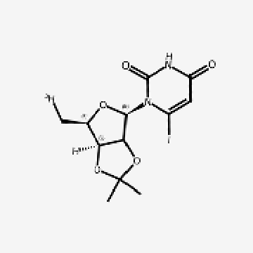 [3H]C[C@H]1O[C@@H](n2c(I)cc(=O)[nH]c2=O)C2OC(C)(C)O[C@H]21